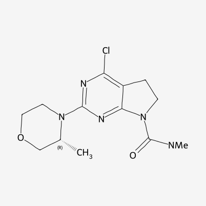 CNC(=O)N1CCc2c(Cl)nc(N3CCOC[C@H]3C)nc21